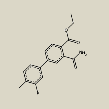 C=C(N)c1cc(-c2ccc(C)c(F)c2)ccc1C(=O)OCC